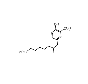 CCCCCCCCCCCCCCCC(C)Cc1ccc(O)c(C(=O)O)c1